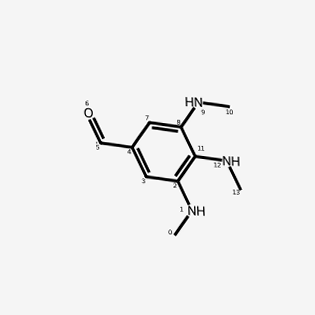 CNc1cc([C]=O)cc(NC)c1NC